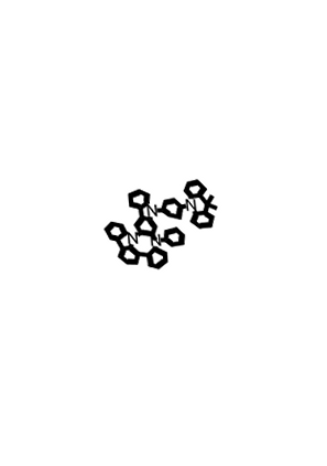 CC1(C)c2ccccc2N(c2ccc(-n3c4ccccc4c4cc5c(cc43)n(-c3ccccc3)c3ccccc3c3cccc4c6ccccc6n5c34)cc2)c2ccccc21